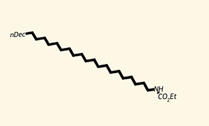 CCCCCCCCCCCCCCCCCCCCCCCCCCCCCCNC(=O)OCC